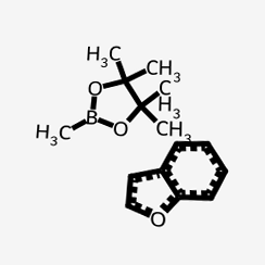 CB1OC(C)(C)C(C)(C)O1.c1ccc2occc2c1